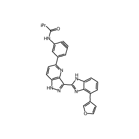 CC(C)C(=O)Nc1c#ccc(-c2ccc3[nH]nc(-c4nc5c(-c6ccoc6)cccc5[nH]4)c3n2)c1